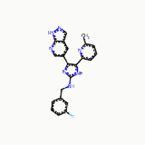 Cc1cccc(-c2[nH]c(NCc3cccc(F)c3)nc2-c2cnc3[nH]ncc3c2)n1